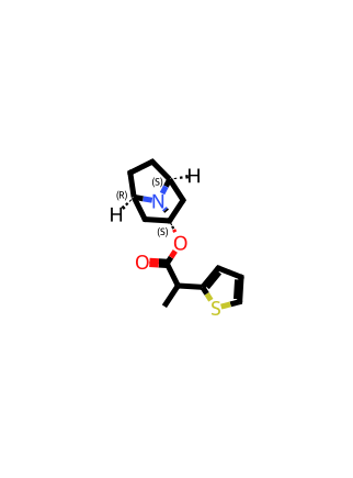 CC(C(=O)O[C@@H]1C[C@H]2CC[C@@H](C1)N2C)c1cccs1